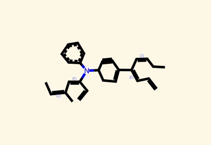 C=C/C=C(\C=C/CC)C1=CCC(N(/C(C=C)=C/C(C)=C\C)c2ccccc2)C#C1